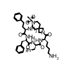 CC(C)C[C@@H](NC(=O)[C@@H](Cc1ccccc1)NC(=O)[C@H](N)CCc1ccccc1)C(=O)N[C@H](CCCCN)C(=O)N1CC2(CCN(S(C)(=O)=O)CC2)C1